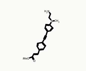 COC(=O)/C=C/c1ccc(C#Cc2ccc(N(C)CCN)cc2)cc1